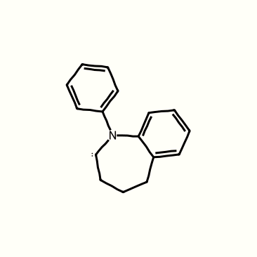 [C]1CCCc2ccccc2N1c1ccccc1